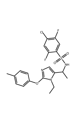 CCn1c(C(C)NS(=O)(=O)c2cc(F)c(Cl)cc2F)cnc1Oc1ccc(C)cc1